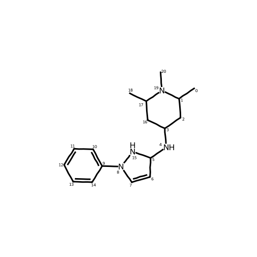 CC1CC(NC2C=CN(c3ccccc3)N2)CC(C)N1C